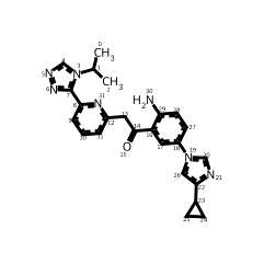 CC(C)n1cnnc1-c1cccc(CC(=O)c2cc(-n3cnc(C4CC4)c3)ccc2N)n1